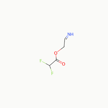 N=CCOC(=O)C(F)F